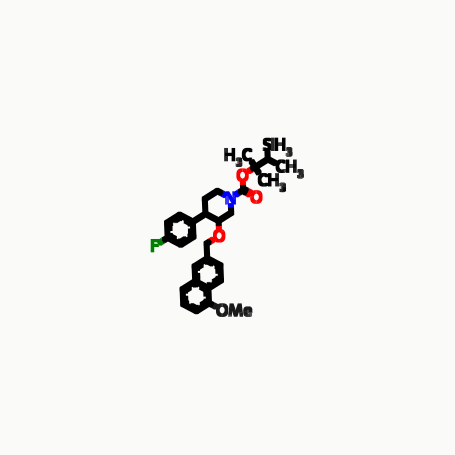 COc1cccc2cc(COC3CN(C(=O)OC(C)(C)C(C)[SiH3])CCC3c3ccc(F)cc3)ccc12